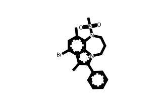 Cc1cc(Br)c2c(C)c(-c3ccccc3)n3c2c1N(S(C)(=O)=O)CCC3